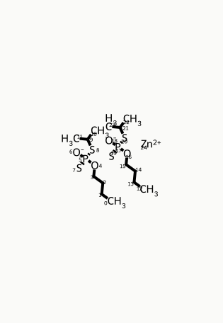 CCCCOP([O-])(=S)SC(C)C.CCCCOP([O-])(=S)SC(C)C.[Zn+2]